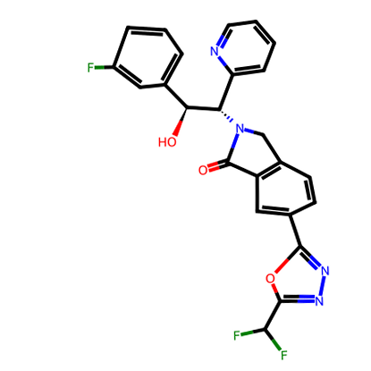 O=C1c2cc(-c3nnc(C(F)F)o3)ccc2CN1[C@@H](c1ccccn1)[C@@H](O)c1cccc(F)c1